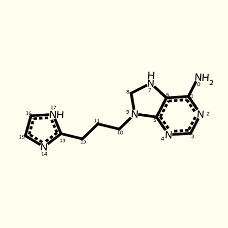 Nc1ncnc2c1NCN2CCCc1ncc[nH]1